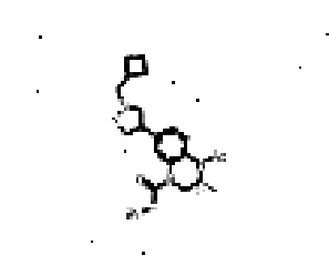 CC(=O)N1c2ccc(C3CNN(CC4CCC4)C3)cc2N(C(=O)OC(C)C)C[C@@H]1C